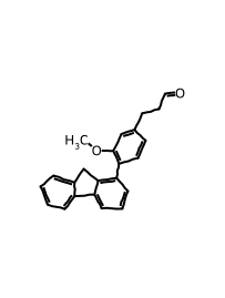 COc1cc(CCC=O)ccc1-c1cccc2c1Cc1ccccc1-2